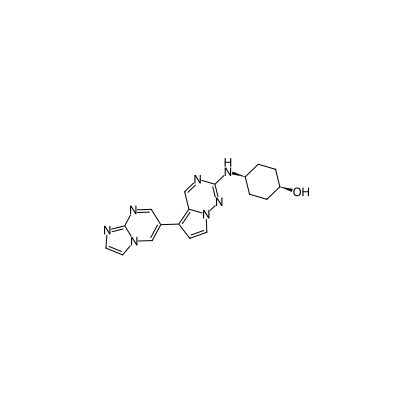 O[C@H]1CC[C@@H](Nc2ncc3c(-c4cnc5nccn5c4)ccn3n2)CC1